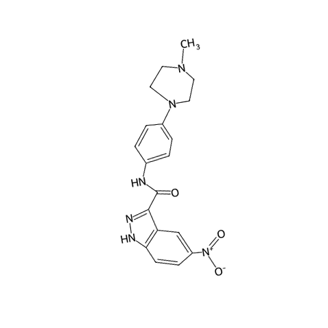 CN1CCN(c2ccc(NC(=O)c3n[nH]c4ccc([N+](=O)[O-])cc34)cc2)CC1